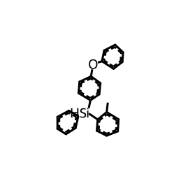 Cc1ccccc1[SiH](c1ccccc1)c1ccc(Oc2ccccc2)cc1